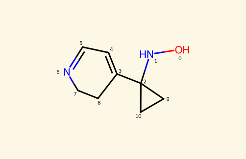 ONC1(C2=CC=NCC2)CC1